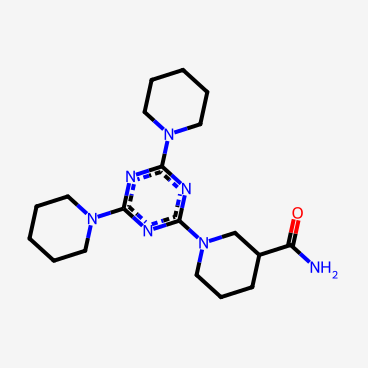 NC(=O)C1CCCN(c2nc(N3CCCCC3)nc(N3CCCCC3)n2)C1